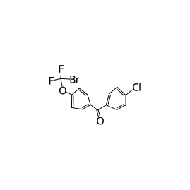 O=C(c1ccc(Cl)cc1)c1ccc(OC(F)(F)Br)cc1